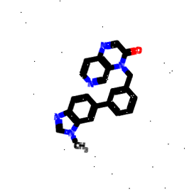 Cn1cnc2ccc(-c3cccc(Cn4c(=O)cnc5ccncc54)c3)cc21